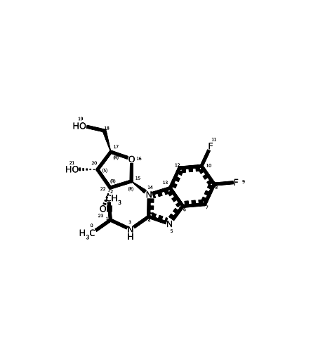 CC(C)Nc1nc2cc(F)c(F)cc2n1[C@@H]1O[C@H](CO)[C@@H](O)[C@H]1O